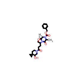 CC1C(=O)N2C(CCC(=O)N3CCC4(CC4)C(O)C3)COC2(C)CN1C(=O)OCc1ccccc1